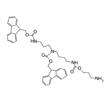 NCCCOC(=O)NCCCCN(CCCNC(=O)OCC1c2ccccc2-c2ccccc21)C(=O)OCC1c2ccccc2-c2ccccc21